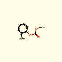 CCCCCc1ccccc1OC(=O)OCCCC